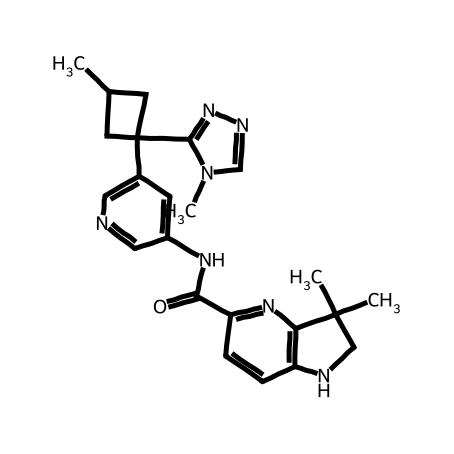 CC1CC(c2cncc(NC(=O)c3ccc4c(n3)C(C)(C)CN4)c2)(c2nncn2C)C1